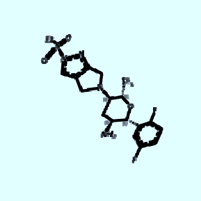 CCS(=O)(=O)n1cc2c(n1)CN([C@@H]1C[C@H](N)[C@@H](c3cc(F)ccc3F)O[C@H]1C(F)(F)F)C2